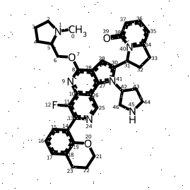 CN1CCCC1COc1nc2c(F)c(-c3cccc4c3OCCC4)ncc2c2c1cc(C1CCc3cccc(=O)n31)n2C1CCNC1